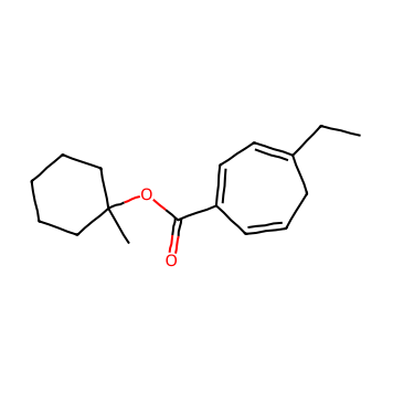 CCC1=CC=C(C(=O)OC2(C)CCCCC2)C=CC1